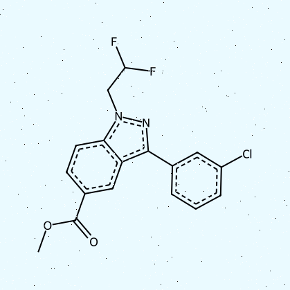 COC(=O)c1ccc2c(c1)c(-c1cccc(Cl)c1)nn2CC(F)F